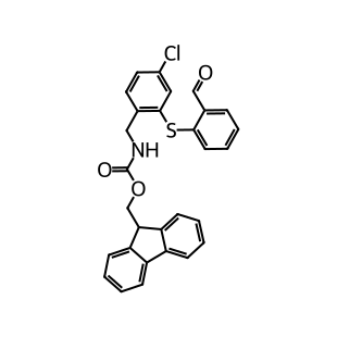 O=Cc1ccccc1Sc1cc(Cl)ccc1CNC(=O)OCC1c2ccccc2-c2ccccc21